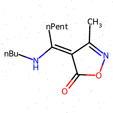 CCCCCC(NCCCC)=C1C(=O)ON=C1C